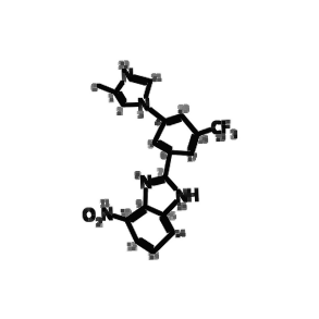 Cc1cn(-c2cc(-c3nc4c([N+](=O)[O-])cccc4[nH]3)cc(C(F)(F)F)c2)cn1